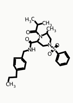 CCCc1ccc(CNC(=O)C2CN(S(=O)(=O)c3ccccc3)CC(C)N2C(=O)C(C)C)cc1